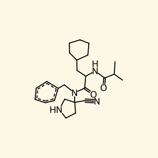 CC(C)C(=O)NC(CC1CCCCC1)C(=O)N(Cc1ccccc1)C1(C#N)CCNC1